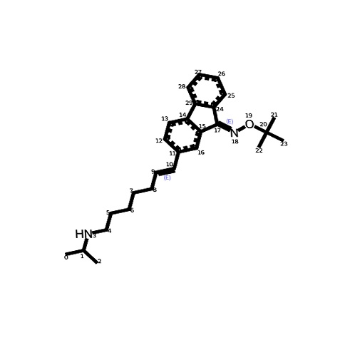 CC(C)NCCCCC/C=C/c1ccc2c(c1)/C(=N/OC(C)(C)C)c1ccccc1-2